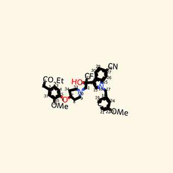 CCOC(=O)Cc1ccc(OC2CCN(CC(O)(c3cn(Cc4cccc(OC)c4)c4cc(C#N)ccc34)C(F)(F)F)CC2)c(OC)c1